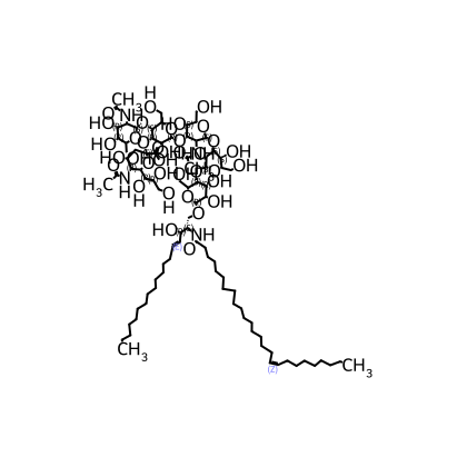 CCCCCCCC/C=C\CCCCCCCCCCCCCCCC(=O)N[C@@H](CO[C@@H]1OC(CO)[C@@H](O[C@@H]2OC(CO)[C@H](O)[C@H](O[C@@H]3OC(CO)[C@@H](O)[C@H](O[C@@H]4OC(CO)[C@H](O[C@@H]5OC(CO)[C@H](O)[C@H](O)C5NC(C)=O)[C@H](O[C@]5(C(=O)O)CC(O)[C@@H](NC(C)=O)C([C@H](O)[C@H](O)CO)O5)C4O)C3NC(C)=O)C2O)[C@H](O)C1O)[C@H](O)/C=C/CCCCCCCCCCCCC